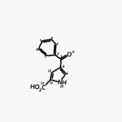 O=C(c1ccccc1)c1c[nH]c(C(=O)O)c1